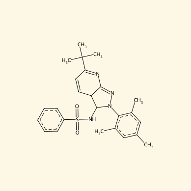 Cc1cc(C)c(N2N=C3N=C(C(C)(C)C)C=CC3C2NS(=O)(=O)c2ccccc2)c(C)c1